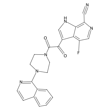 N#Cc1ncc(F)c2c(C(=O)C(=O)N3CCN(c4nccc5ccccc45)CC3)c[nH]c12